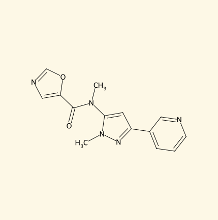 CN(C(=O)c1cnco1)c1cc(-c2cccnc2)nn1C